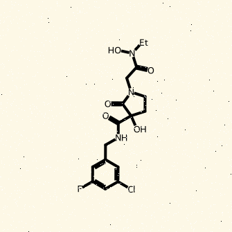 CCN(O)C(=O)CN1CCC(O)(C(=O)NCc2cc(F)cc(Cl)c2)C1=O